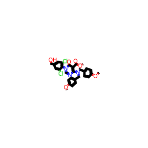 COC(=O)c1c(N(Cc2ccc(OC)cc2)Cc2ccc(OC)cc2)ncn(-c2c(Cl)cc(CO)cc2Cl)c1=O